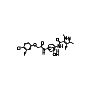 Cc1nn(C)c(C(=O)NC23CCC(NC(=O)COc4ccc(Cl)c(F)c4)(CC2)C[C@@H]3O)c1F